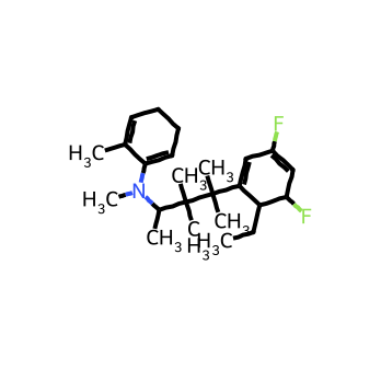 CCC1C(C(C)(C)C(C)(C)C(C)N(C)C2=CCCC=C2C)=CC(F)=CC1F